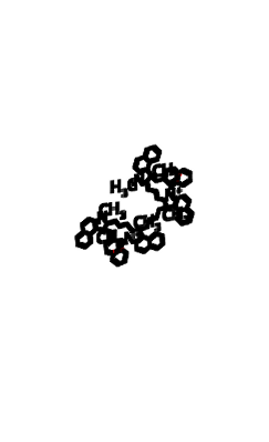 CN1/C(=C/C=C/C2=[N+](Cc3ccccc3)c3ccc4ccccc4c3C2(C)CC=CCC2(C)C(/C=C/C=C3/N(C)c4ccc5ccccc5c4C3(C)Cc3ccccc3)=[N+](Cc3ccccc3)c3ccc4ccccc4c32)C(C)(Cc2ccccc2)c2c1ccc1ccccc21